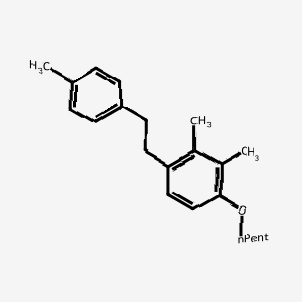 CCCCCOc1ccc(CCc2ccc(C)cc2)c(C)c1C